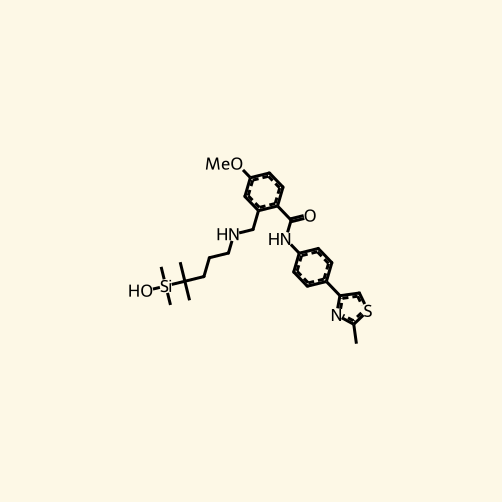 COc1ccc(C(=O)Nc2ccc(-c3csc(C)n3)cc2)c(CNCCCC(C)(C)[Si](C)(C)O)c1